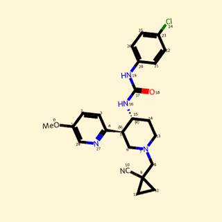 COc1ccc([C@@H]2CN(CC3(C#N)CC3)CC[C@H]2NC(=O)Nc2ccc(Cl)cc2)nc1